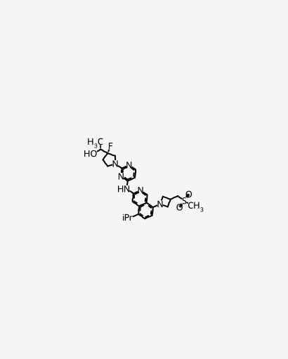 CC(C)c1ccc(N2CC(CS(C)(=O)=O)C2)c2cnc(Nc3ccnc(N4CC[C@](F)([C@H](C)O)C4)n3)cc12